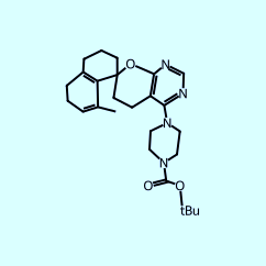 CC1=CCCC2=C1C1(CCC2)CCc2c(ncnc2N2CCN(C(=O)OC(C)(C)C)CC2)O1